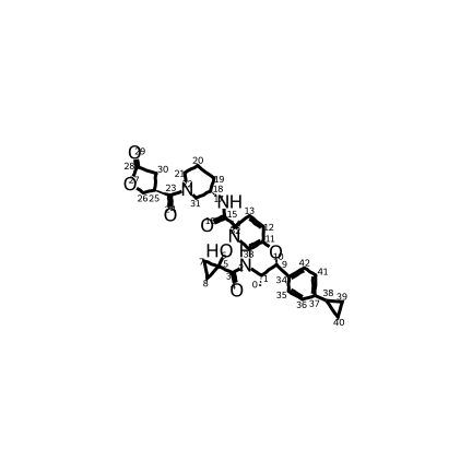 C[C@H](NC(=O)C1(O)CC1)[C@H](Oc1ccc(C(=O)N[C@H]2CCCN(C(=O)[C@H]3COC(=O)C3)C2)nc1)c1ccc(C2CC2)cc1